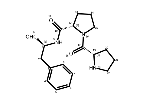 O=[C][C@H](Cc1ccccc1)NC(=O)[C@@H]1CCCN1C(=O)[C@@H]1CCCN1